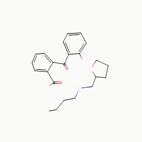 CCCCNCC1CCCO1.O=C(O)c1ccccc1C(=O)c1ccccc1O